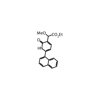 CCOC(=O)C(OC)c1ccc(-c2cccc3ccccc23)[nH]c1=O